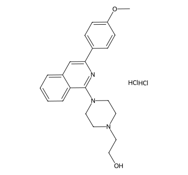 COc1ccc(-c2cc3ccccc3c(N3CCN(CCO)CC3)n2)cc1.Cl.Cl